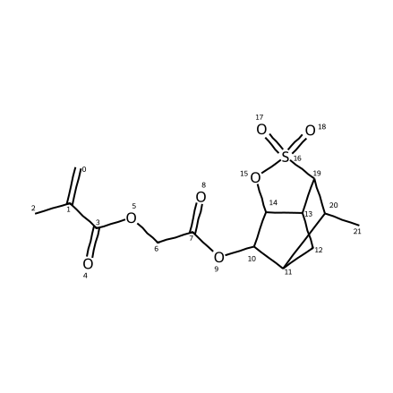 C=C(C)C(=O)OCC(=O)OC1C2CC3C1OS(=O)(=O)C3C2C